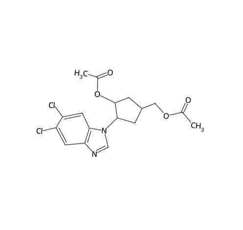 CC(=O)OCC1CC(OC(C)=O)C(n2cnc3cc(Cl)c(Cl)cc32)C1